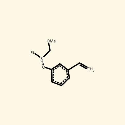 C=Cc1cccc(O[SiH](CC)COC)c1